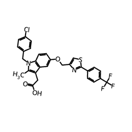 Cc1c(CC(=O)O)c2cc(OCc3csc(-c4ccc(C(F)(F)F)cc4)n3)ccc2n1Cc1ccc(Cl)cc1